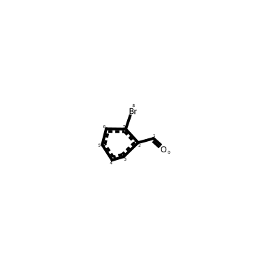 O=Cc1c[c]ccc1Br